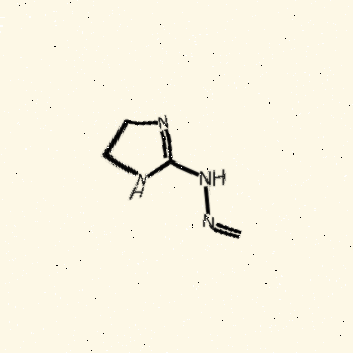 C=NNC1=NCCN1